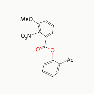 COc1cccc(C(=O)Oc2ccccc2C(C)=O)c1[N+](=O)[O-]